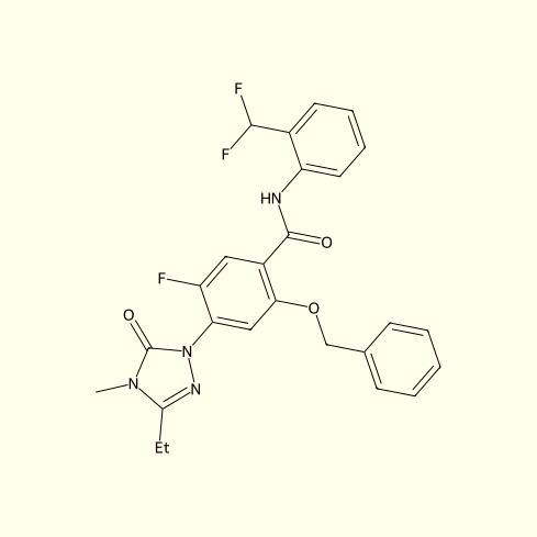 CCc1nn(-c2cc(OCc3ccccc3)c(C(=O)Nc3ccccc3C(F)F)cc2F)c(=O)n1C